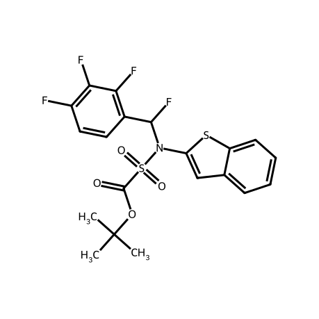 CC(C)(C)OC(=O)S(=O)(=O)N(c1cc2ccccc2s1)C(F)c1ccc(F)c(F)c1F